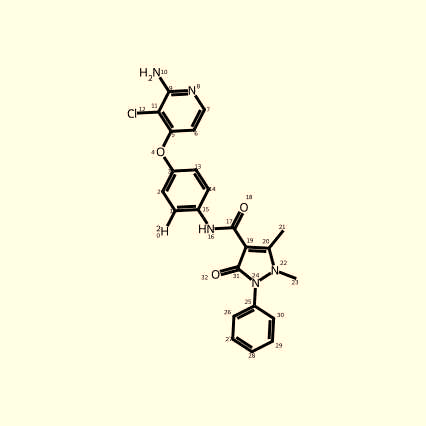 [2H]c1cc(Oc2ccnc(N)c2Cl)ccc1NC(=O)c1c(C)n(C)n(-c2ccccc2)c1=O